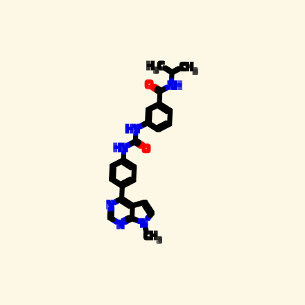 CC(C)NC(=O)c1cccc(NC(=O)Nc2ccc(-c3ncnc4c3ccn4C)cc2)c1